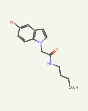 O=C(O)CCCNC(=O)Cn1ccc2cc(Br)ccc21